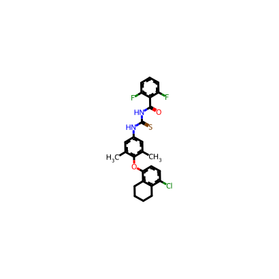 Cc1cc(NC(=S)NC(=O)c2c(F)cccc2F)cc(C)c1Oc1ccc(Cl)c2c1CCCC2